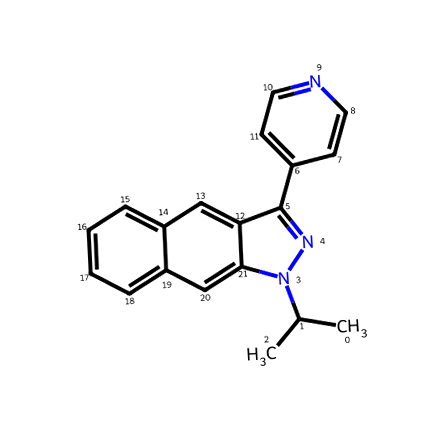 CC(C)n1nc(-c2ccncc2)c2cc3ccccc3cc21